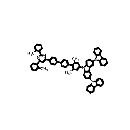 Cc1ccccc1-c1cc(-c2ccc(-c3ccc(-c4c(C)cc(-n5c6ccc(-n7c8ccccc8c8ccccc87)cc6c6cc(-n7c8ccccc8c8ccccc87)ccc65)cc4C)cc3)cc2)nc(-c2ccccc2C)n1